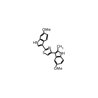 COc1ccc2c(-c3nc(-c4c(C)[nH]c5ccc(OC)cc45)cs3)c[nH]c2c1